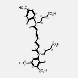 C\C(=C/C=C/C=C/C(C)=[N+](\CCCS(=O)(=O)O)c1cc(S(=O)(=O)O)cc(S(=O)(=O)O)c1C)N(CCCS(=O)(=O)O)c1ccc(C(=O)O)cc1C